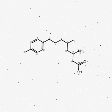 Cc1ccc(CCCC(C)CC(N)CC(=O)O)cc1